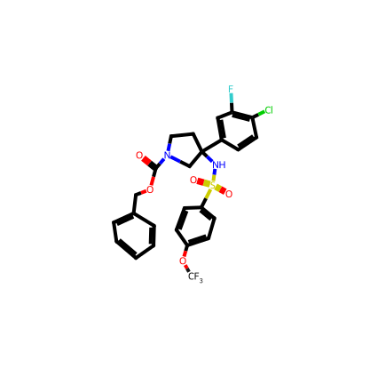 O=C(OCc1ccccc1)N1CCC(NS(=O)(=O)c2ccc(OC(F)(F)F)cc2)(c2ccc(Cl)c(F)c2)C1